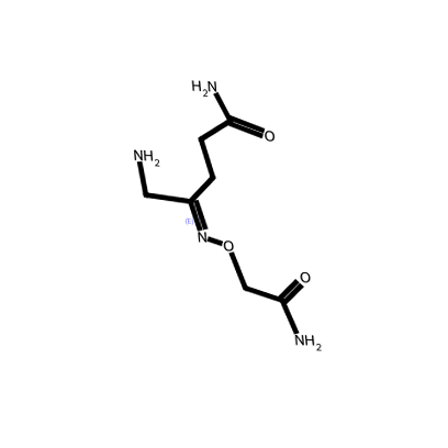 NC/C(CCC(N)=O)=N/OCC(N)=O